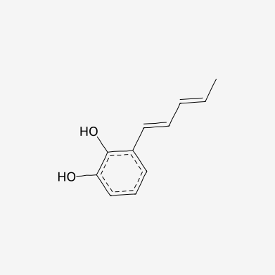 CC=CC=Cc1cccc(O)c1O